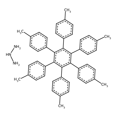 Cc1ccc(-c2c(-c3ccc(C)cc3)c(-c3ccc(C)cc3)c(-c3ccc(C)cc3)c(-c3ccc(C)cc3)c2-c2ccc(C)cc2)cc1.NNN